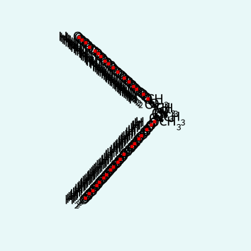 CCOC(C)=O.CCOC(C)=O.CCOC(C)=O.O.O.O.O.O.O.O.O.O.O.O.O.O.O.O.O.O.O.O.O.O.O.O.O.O.O.O.O.O.O.O.O.O.O.O.O.O.O.O.O.O.O.O.O.O.O.O.O.O.O.O.O.O.O.O.O.O.O.O.O.O.O.O.O.O.O.O.O.O.O.O.O.O.O.O.O.O.O.O.O.O.O.O.O.O.O.O.O.O.O.O.O.O.O.O.O.O